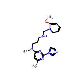 COC1=CC=CCN1CNCCCN(C)c1cc(C)nc(-n2ccnc2)n1